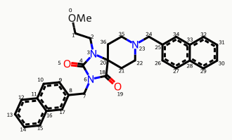 COCCN1C(=O)N(Cc2ccc3ccccc3c2)C(=O)C12CCN(Cc1ccc3ccccc3c1)CC2